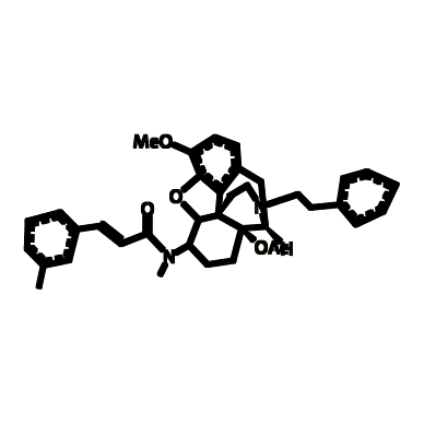 COc1ccc2c3c1OC1C(N(C)C(=O)/C=C/c4cccc(C)c4)CC[C@@]4(OC(C)=O)[C@@H](C2)N(CCc2ccccc2)CC[C@]314